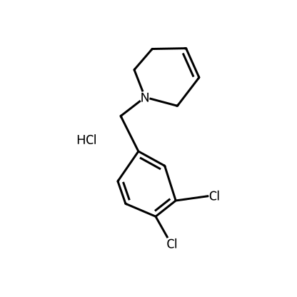 Cl.Clc1ccc(CN2CC=CCC2)cc1Cl